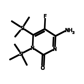 C[Si](C)(C)c1c(F)c(N)nc(=O)n1[Si](C)(C)C